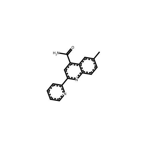 Cc1ccc2nc(-c3ccccn3)cc(C(N)=O)c2c1